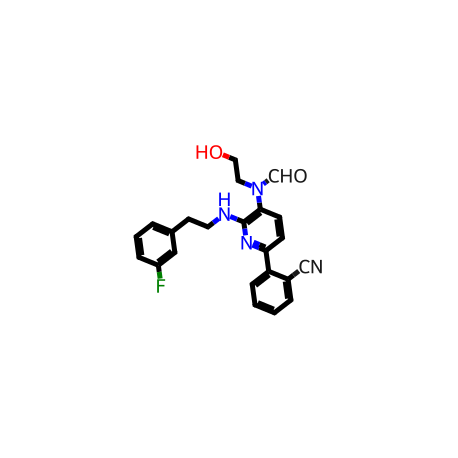 N#Cc1ccccc1-c1ccc(N(C=O)CCO)c(NCCc2cccc(F)c2)n1